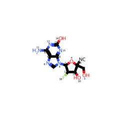 [C-]#[N+]C1(CO)OC(n2cnc3c(N)nc(O)nc32)C(F)C1O